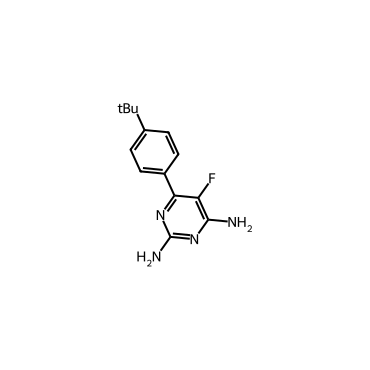 CC(C)(C)c1ccc(-c2nc(N)nc(N)c2F)cc1